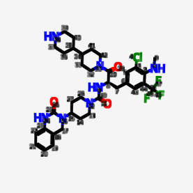 CNc1c(Cl)cc(C[C@@H](NC(=O)N2CCC(N3Cc4ccccc4NC3=O)CC2)C(=O)N2CCC(C3CCNCC3)CC2)cc1C(F)(F)F